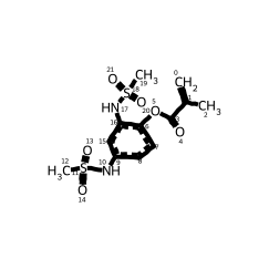 C=C(C)C(=O)Oc1ccc(NS(C)(=O)=O)cc1NS(C)(=O)=O